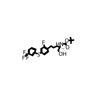 CC(C)(C)OC(=O)N[C@@](C)(CO)CCCc1ccc(Sc2cccc(C(F)(F)F)c2)cc1F